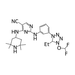 CCC1N(OC(F)F)N=NN1c1cccc(Nc2ncc(C#N)c(NC3CC(C)(C)NC(C)(C)C3)n2)c1